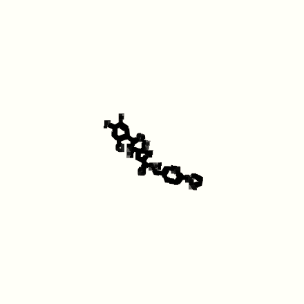 O=C(NCc1ccc(-n2cccn2)nc1)c1cc(NC(=O)c2cc(F)c(F)cc2Cl)[nH]n1